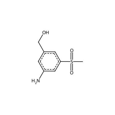 CS(=O)(=O)c1cc(N)cc(CO)c1